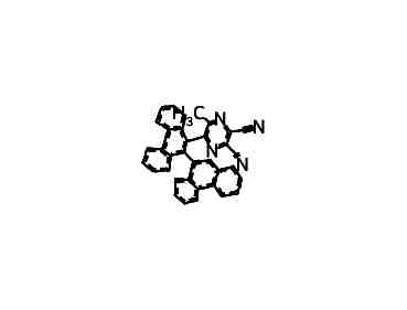 Cc1nc(C#N)c(C#N)nc1-c1c(-c2cc3ccccc3c3ccccc23)c2ccccc2c2ccccc12